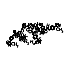 Cc1cc([C@H](C(=O)N2C[C@H](OCc3cc([C@H](C(=O)N4C[C@H](OCc5cc([C@H](C(=O)N6C[C@H](O)C[C@H]6C(=O)NCc6ccc(-c7scnc7C)cc6)C(C)C)on5)C[C@H]4C(=O)NCc4ccc(-c5scnc5C)cc4)C(C)(C)C)on3)C[C@H]2C(=O)NCc2ccc(-c3ocnc3C)cc2)C(C)(C)C)on1